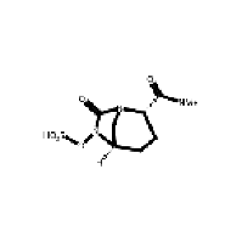 CNC(=O)[C@@H]1CC[C@@H]2CN1C(=O)N2OS(=O)(=O)O